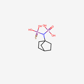 O=P(O)(O)N(C12CCC(CC1)C2)P(O)(O)=S